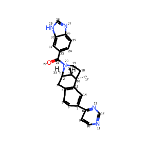 C[C@@H]1[C@H]2Cc3ccc(-c4ccncn4)cc3[C@]1(C)CCN2C(=O)c1ccc2nc[nH]c2c1